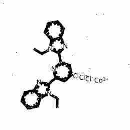 CCn1c(-c2cccc(-c3nc4ccccc4n3CC)n2)nc2ccccc21.[Cl-].[Cl-].[Cl-].[Co+3]